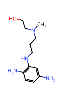 CN(CCO)CCCNc1cc(N)ccc1N